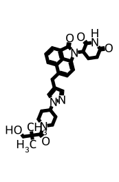 CC(C)(CO)C(=O)N1CCC(n2cc(Cc3ccc4c5c(cccc35)C(=O)N4C3CCC(=O)NC3=O)cn2)CC1